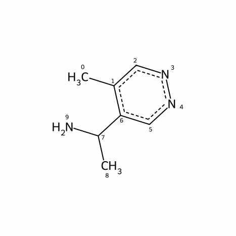 Cc1cnncc1C(C)N